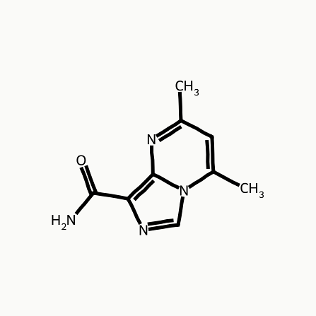 Cc1cc(C)n2cnc(C(N)=O)c2n1